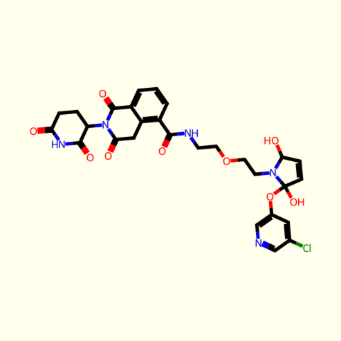 O=C1CCC(N2C(=O)Cc3c(C(=O)NCCOCCN4C(O)C=CC4(O)Oc4cncc(Cl)c4)cccc3C2=O)C(=O)N1